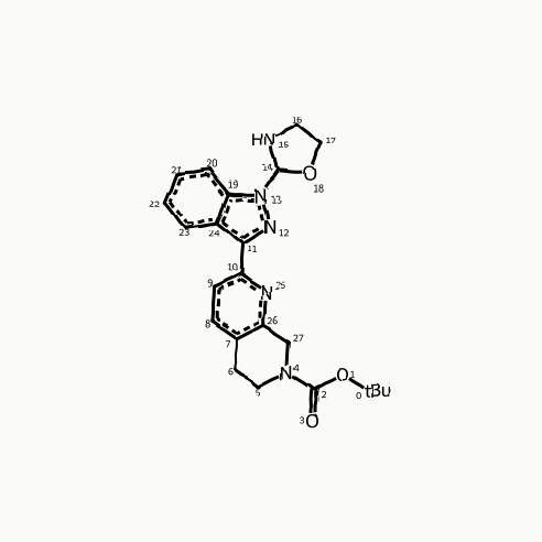 CC(C)(C)OC(=O)N1CCc2ccc(-c3nn(C4NCCO4)c4ccccc34)nc2C1